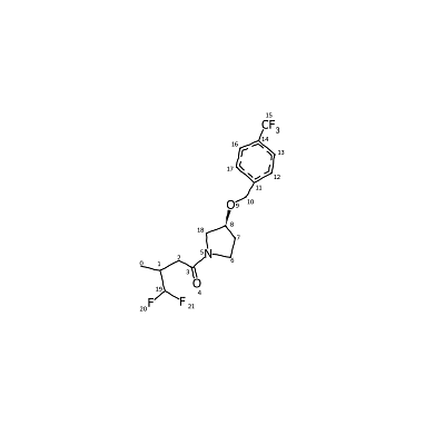 CC(CC(=O)N1CC[C@H](OCc2ccc(C(F)(F)F)cc2)C1)C(F)F